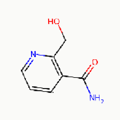 NC(=O)c1[c]ccnc1CO